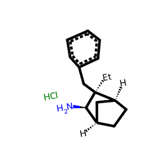 CC[C@]1(Cc2ccccc2)[C@H]2CC[C@H](C2)[C@H]1N.Cl